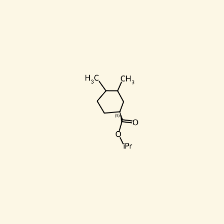 CC(C)OC(=O)[C@H]1CCC(C)C(C)C1